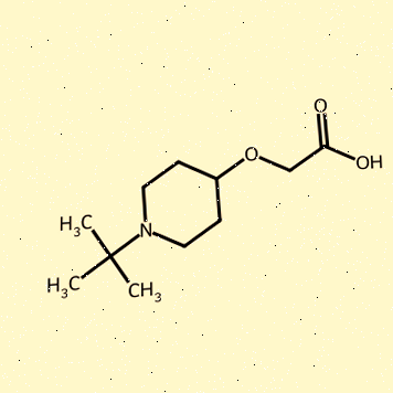 CC(C)(C)N1CCC(OCC(=O)O)CC1